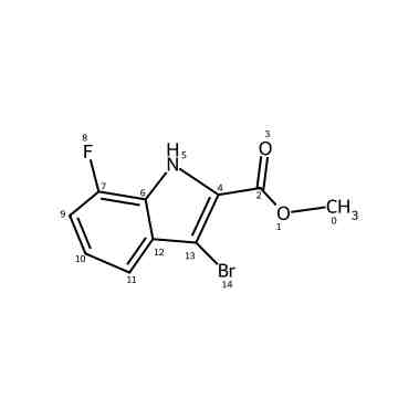 COC(=O)c1[nH]c2c(F)cccc2c1Br